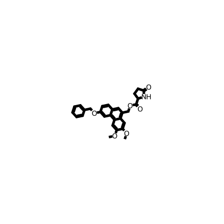 COc1cc2c(COC(=O)C3CCC(=O)N3)cc3ccc(OCc4ccccc4)cc3c2cc1OC